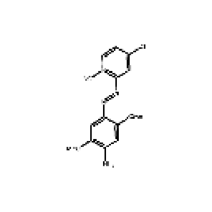 COc1cc(N=Nc2cc(Cl)ccc2C#N)c(OC)cc1N